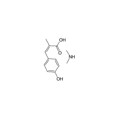 CC(=Cc1ccc(O)cc1)C(=O)O.CNC